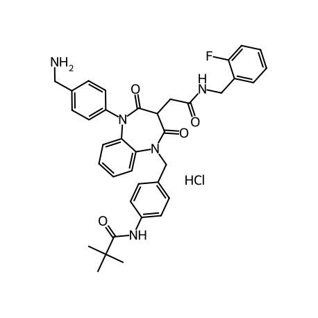 CC(C)(C)C(=O)Nc1ccc(CN2C(=O)C(CC(=O)NCc3ccccc3F)C(=O)N(c3ccc(CN)cc3)c3ccccc32)cc1.Cl